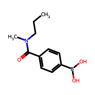 CCCN(C)C(=O)c1ccc(B(O)O)cc1